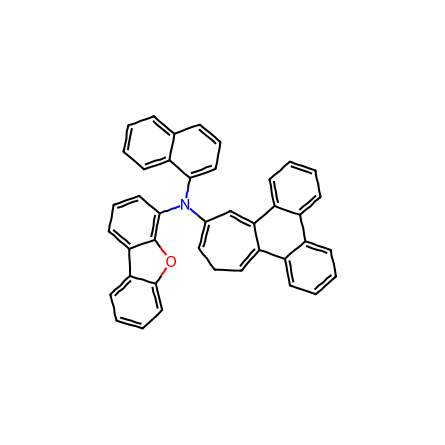 C1=C(N(c2cccc3ccccc23)c2cccc3c2oc2ccccc23)C=c2c(c3ccccc3c3ccccc23)=CC1